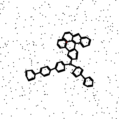 c1ccc(-c2ccc(-c3ccc(N(c4ccc(-c5ccccc5)cc4)c4ccc(-c5c6ccccc6cc6ccccc56)c(-c5ccccc5)c4)cc3)cc2)cc1